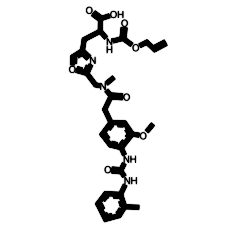 C=CCOC(=O)NC(Cc1coc(CN(C)C(=O)Cc2ccc(NC(=O)Nc3ccccc3C)c(OC)c2)n1)C(=O)O